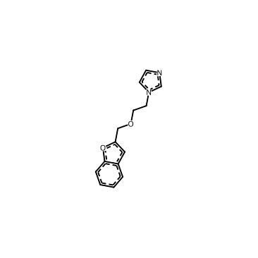 c1ccc2oc(COCCn3ccnc3)cc2c1